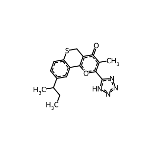 CCC(C)c1ccc2c(c1)-c1oc(-c3nnn[nH]3)c(C)c(=O)c1CS2